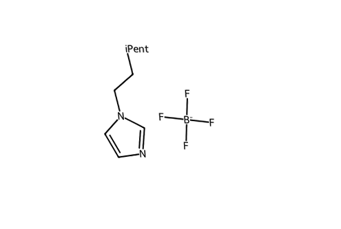 CCCC(C)CCn1ccnc1.F[B-](F)(F)F